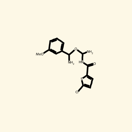 COc1cccc(C(N)OC(N)NC(=O)c2ccc(Cl)s2)c1